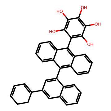 Oc1c(O)c(O)c(-c2c3ccccc3c(-c3cc(C4=CC=CCC4)cc4ccccc34)c3ccccc23)c(O)c1O